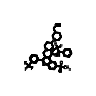 CS(=O)(=O)c1ccc2nc(-c3cccc(C(F)(F)F)c3)c(CN3CCC(N4CCCC(CO)C4)CC3)c(C(=O)NC(c3ccccc3)C(F)(F)F)c2c1